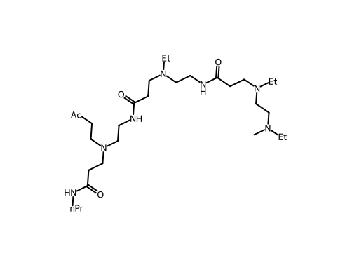 CCCNC(=O)CCN(CCNC(=O)CCN(CC)CCNC(=O)CCN(CC)CCN(C)CC)CCC(C)=O